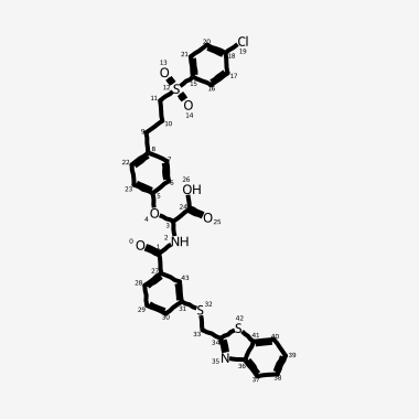 O=C(NC(Oc1ccc(CCCS(=O)(=O)c2ccc(Cl)cc2)cc1)C(=O)O)c1cccc(SCc2nc3ccccc3s2)c1